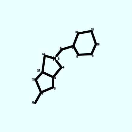 CC1CC2CN(CC3CCCCC3)CC2C1